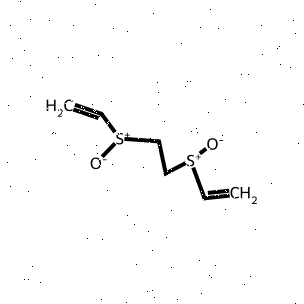 C=C[S+]([O-])CC[S+]([O-])C=C